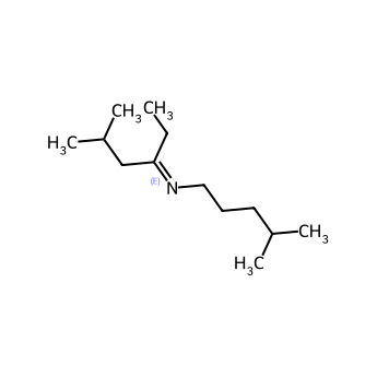 CC/C(CC(C)C)=N\CCCC(C)C